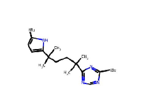 CC(C)(C)c1ncnc(C(C)(C)CCC(C)(C)c2ccc(C(C)(C)C)[nH]2)n1